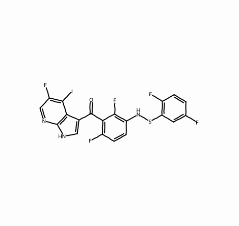 O=C(c1c(F)ccc(NSc2cc(F)ccc2F)c1F)c1c[nH]c2ncc(F)c(I)c12